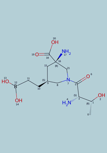 C[C@@H](O)[C@H](N)C(=O)N1C[C@@H](CCB(O)O)C[C@](N)(C(=O)O)C1